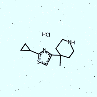 CC1(c2csc(C3CC3)n2)CCNCC1.Cl